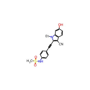 CCn1c(C#Cc2ccc(NS(C)(=O)=O)cc2)c(C#N)c2ccc(O)cc21